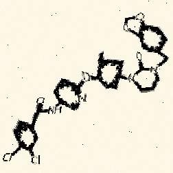 Cc1cc(N2CCCN(Cc3ccc4c(c3)OCO4)C2=O)ccc1Oc1ccc(NC(=O)c2ccc(Cl)c(Cl)c2)cn1